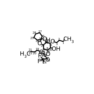 CCCCOC1C(O)[C@H](OS(=O)(=O)C(F)(F)F)C(OCCCC)C2OC3(CCCCC3)O[C@H]12